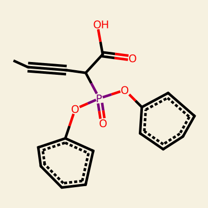 CC#CC(C(=O)O)P(=O)(Oc1ccccc1)Oc1ccccc1